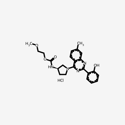 COCCOC(=O)N[C@@H]1CCN(c2nc(-c3ccccc3O)nc3cc(C)ccc23)C1.Cl